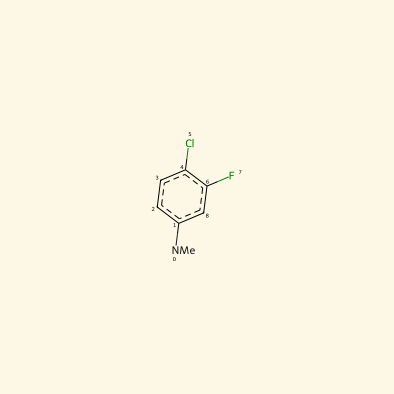 CNc1ccc(Cl)c(F)c1